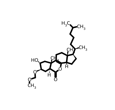 COCO[C@@H]1C[C@@H]2C(=O)OC3=C(CC[C@]4(C)[C@@H]([C@H](C)CCCC(C)C)CC[C@@H]34)[C@@]2(C)C[C@H]1O